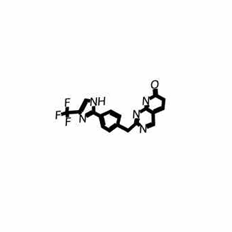 O=C1CC=c2cnc(Cc3ccc(-c4nc(C(F)(F)F)c[nH]4)cc3)nc2=N1